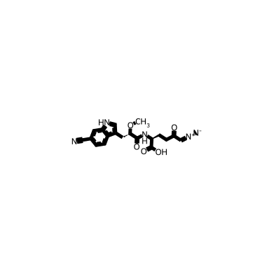 CO[C@@H](Cc1c[nH]c2cc(C#N)ccc12)C(=O)N[C@@H](CCC(=O)C=[N+]=[N-])C(=O)O